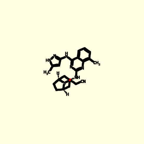 Cc1cc(Nc2nc(N[C@@H]3C[C@H]4CC[C@@H](C3)N4CCC#N)nc3c(C)cccc23)n[nH]1